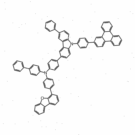 c1ccc(-c2ccc(N(c3ccc(-c4ccc5c(c4)c4cc(-c6ccccc6)ccc4n5-c4ccc(-c5ccc6c7ccccc7c7ccccc7c6c5)cc4)cc3)c3ccc(-c4cccc5c4oc4ccccc45)cc3)cc2)cc1